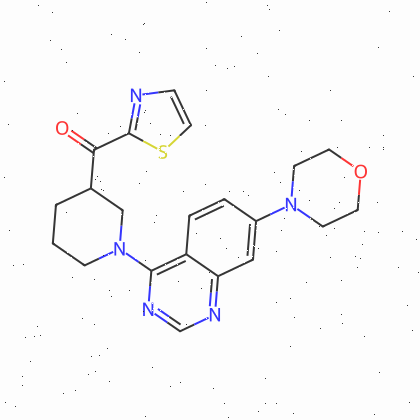 O=C(c1nccs1)C1CCCN(c2ncnc3cc(N4CCOCC4)ccc23)C1